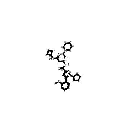 CSc1ccccc1-c1cc(C(=O)N[C@@H](CCN2CCCCC2)CC(=O)NC2CCC2)nn1C1CCCC1